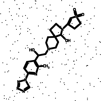 Cc1nc(-n2cnnn2)ccc1C(O)CN1CCC2(CC1)CCN(C1=CS(=O)(=O)CC1)C2O